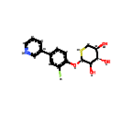 O[C@@H]1[C@@H](O)[C@H](Oc2ccc(-c3cccnc3)cc2F)SC[C@H]1O